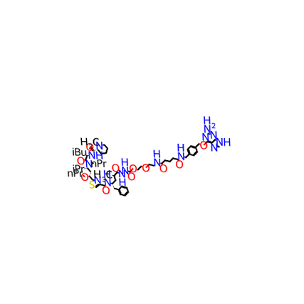 CCCO[C@H](C[C@H](C(C)C)N(CCC)C(=O)[C@@H](NC(=O)[C@H]1CCCCN1C)[C@@H](C)CC)c1nc(C(=O)N[C@@H](Cc2ccccc2)C[C@H](C)C(=O)NNC(=O)OCCOCCNC(=O)CCCC(=O)NCc2ccc(COc3nc(N)nc4[nH]cnc34)cc2)cs1